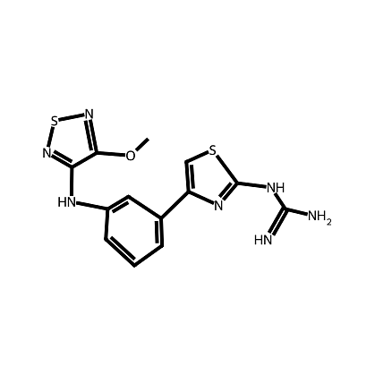 COc1nsnc1Nc1cccc(-c2csc(NC(=N)N)n2)c1